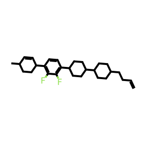 C=CCCC1CCC(C2CCC(c3ccc(C4C=CC(C)CC4)c(F)c3F)CC2)CC1